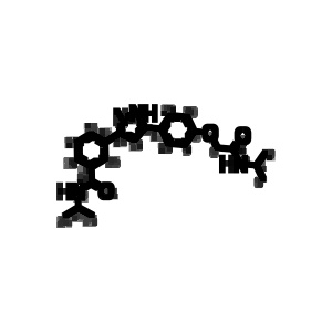 CC(C)NC(=O)COc1ccc(-c2cc(-c3cccc(C(=O)NC(C)C)c3)n[nH]2)cc1